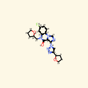 O=c1c2c(-n3cc(C4CCCO4)nn3)ncn2c2ccc(F)cc2n1CC1CCCO1